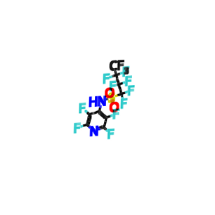 O=S(=O)(Nc1c(F)c(F)nc(F)c1F)C(F)(F)C(F)(F)C(F)(F)C(F)(F)F